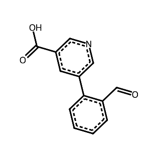 O=Cc1ccccc1-c1cncc(C(=O)O)c1